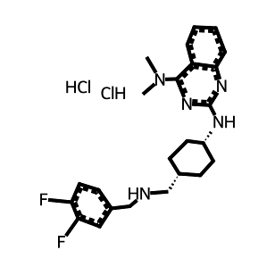 CN(C)c1nc(N[C@H]2CC[C@@H](CNCc3ccc(F)c(F)c3)CC2)nc2ccccc12.Cl.Cl